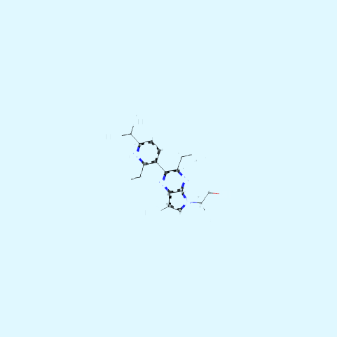 CCc1nc(C(C)C)ccc1-c1nc2c(C)cn([C@H](C)CO)c2nc1CC